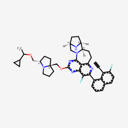 C#Cc1c(F)ccc2cccc(-c3nc4c5c(nc(OC[C@@]67CCCN6[C@H](COC(C6CC6)C(F)(F)F)CC7)nc5c3F)N3C[C@H]5CC[C@H](N5)[C@H]3CC4)c12